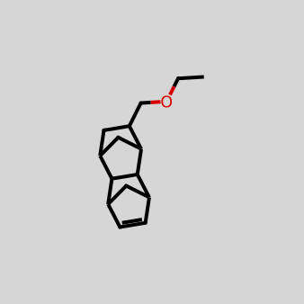 CCOCC1CC2CC1C1C3C=CC(C3)C21